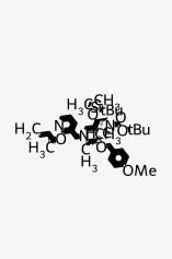 C=CC[C@H](C)Oc1ncccc1CN(C[C@@H](C)[C@H](CN(C)C(=O)OC(C)(C)C)O[Si](C)(C)C(C)(C)C)[C@@H](C)COCc1ccc(OC)cc1